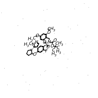 COc1ccc(CN(C(=O)OC(C)(C)C)S(=O)(=O)c2ccc(O[C@H]3CCC[C@@H]3c3ccnn3C)cc2F)c(OC)c1